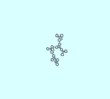 c1ccc(N(c2ccccc2)c2ccc(-n3c4ccc(-c5ccc6c(c5)Sc5ccccc5N6c5ccccc5)cc4c4cc(-c5cccc6c5Sc5cc(-c7ccc8c(c7)c7ccccc7n8-c7cccc8c7oc7ccccc78)ccc5N6c5ccccc5)ccc43)cc2)cc1